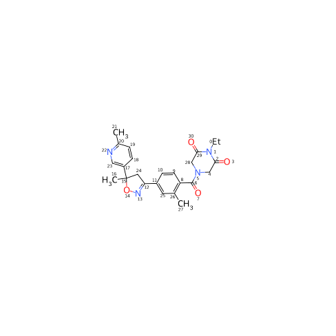 CCN1C(=O)CN(C(=O)c2ccc(C3=NOC(C)(c4ccc(C)nc4)C3)cc2C)CC1=O